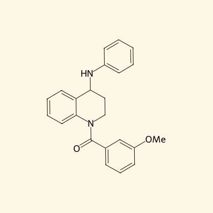 COc1cccc(C(=O)N2CCC(Nc3ccccc3)c3ccccc32)c1